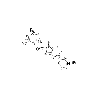 CC(C)N1CCCC(c2ccc3[nH]c(C(=O)Nc4cc(F)cc(C#N)c4)cc3c2)C1